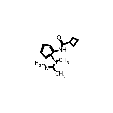 CN=C(C)N(C)c1ccccc1NC(=O)C1CCC1